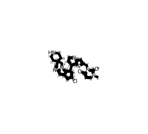 Cn1ccc(=O)n(Cc2cc3nccc(-c4cc(Cl)cc5ccn(CC6(C#N)CCNCC6)c45)c3s2)c1=O